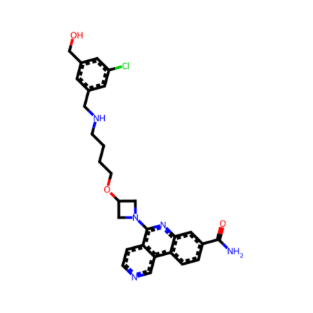 NC(=O)c1ccc2c(c1)nc(N1CC(OCCCCNCc3cc(Cl)cc(CO)c3)C1)c1ccncc12